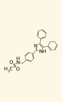 CS(=O)(=O)NCc1ccc(-c2nc(-c3ccccc3)c(C3=CC=CCC3)[nH]2)cc1